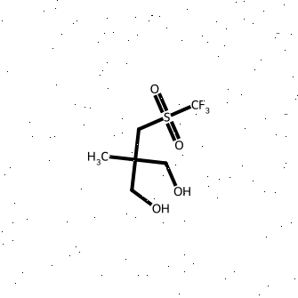 CC(CO)(CO)CS(=O)(=O)C(F)(F)F